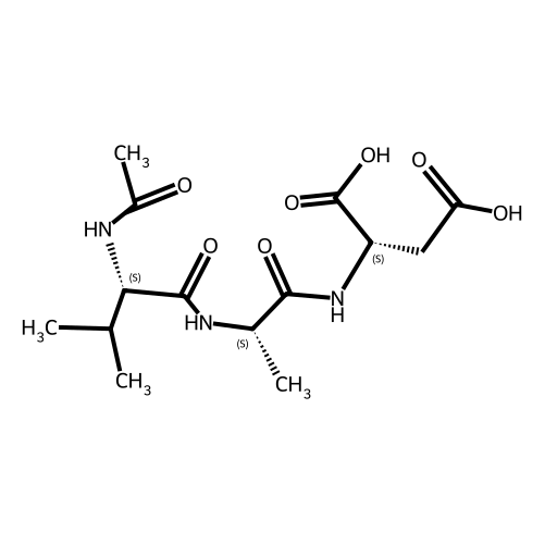 CC(=O)N[C@H](C(=O)N[C@@H](C)C(=O)N[C@@H](CC(=O)O)C(=O)O)C(C)C